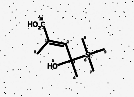 CC(=CC(C)(O)[Si](C)(C)C)C(=O)O